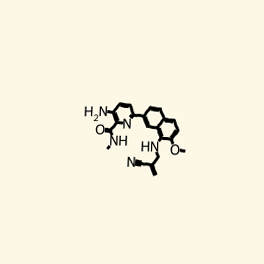 C=C(C#N)CNc1c(OC)ccc2ccc(-c3ccc(N)c(C(=O)NC)n3)cc12